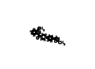 Cc1ncc(-c2ccc(N3CCN(C(=O)c4nn(C)c5ccccc45)CC3)cc2)o1